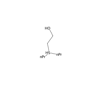 CCC[SH](CCC)CCO